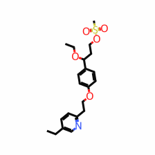 CCOC(CCOS(C)(=O)=O)c1ccc(OCCc2ccc(CC)cn2)cc1